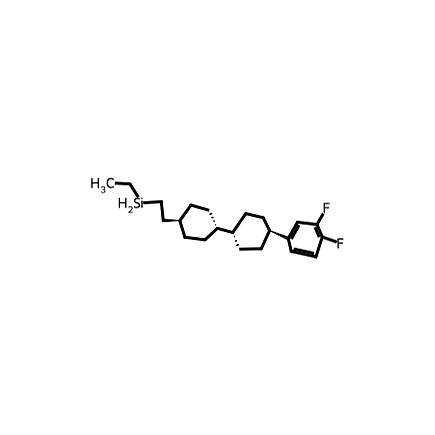 CC[SiH2]CC[C@H]1CC[C@H]([C@H]2CC[C@H](c3ccc(F)c(F)c3)CC2)CC1